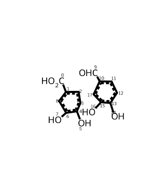 O=C(O)c1ccc(O)c(O)c1.O=Cc1ccc(O)c(O)c1